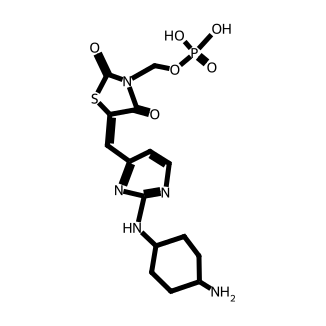 NC1CCC(Nc2nccc(C=C3SC(=O)N(COP(=O)(O)O)C3=O)n2)CC1